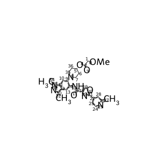 COCC(=O)OC1CCN(c2cc3c(cc2NC(=O)c2coc(-c4ccnc(C)c4)n2)c(C)nn3C)CC1